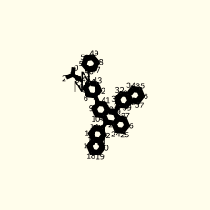 CC(C)c1nc2cc(-c3ccc4c(-c5ccc6ccccc6c5)c5ccccc5c(-c5ccc6ccccc6c5)c4c3)ccc2n1-c1ccccc1